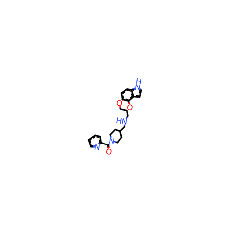 O=C(c1ccccn1)N1CCC(CNCC2COc3ccc4[nH]ccc4c3O2)CC1